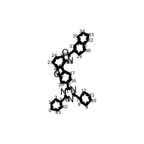 c1ccc(-c2nc(-c3ccccc3)nc(-c3ccc4c(c3)oc3ccc5oc(-c6ccc7ccccc7c6)nc5c34)n2)cc1